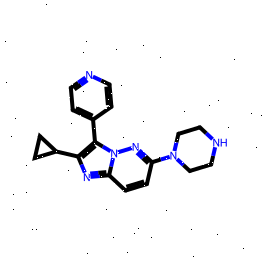 c1cc(-c2c(C3CC3)nc3ccc(N4CCNCC4)nn23)ccn1